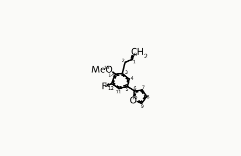 C=CCc1cc(-c2ccco2)cc(F)c1OC